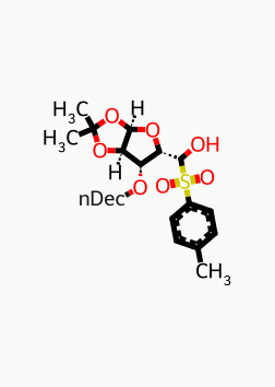 CCCCCCCCCCO[C@@H]1[C@H]2OC(C)(C)O[C@H]2O[C@@H]1C(O)S(=O)(=O)c1ccc(C)cc1